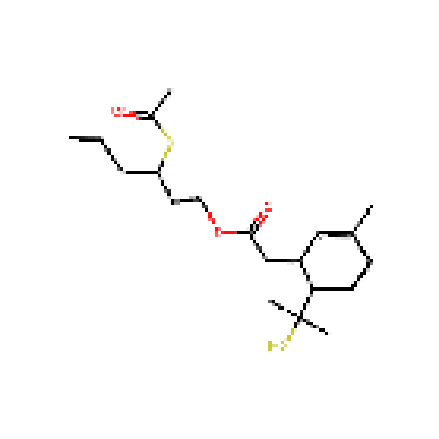 CCCC(CCOC(=O)CC1C=C(C)CCC1C(C)(C)S)SC(C)=O